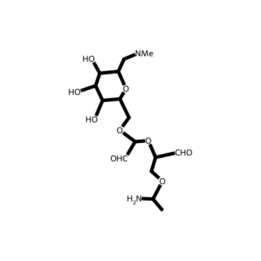 CNCC1OC(COC(C=O)OC(C=O)COC(C)N)C(O)C(O)C1O